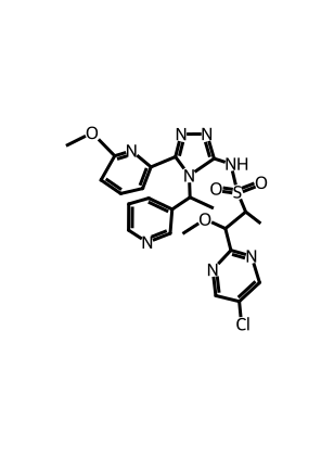 COc1cccc(-c2nnc(NS(=O)(=O)C(C)C(OC)c3ncc(Cl)cn3)n2C(C)c2cccnc2)n1